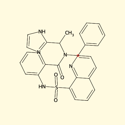 CC(c1ncc[nH]1)N(Cc1ccccc1)C(=O)c1ccccc1NS(=O)(=O)c1cccc2cccnc12